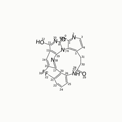 CC(C)c1nccc2c1-n1c(=O)nc(O)c3cc(F)c(nc31)-c1c(F)cccc1NC(=O)CC2